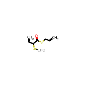 C=CCSC(=O)C(C=C)S[C]=O